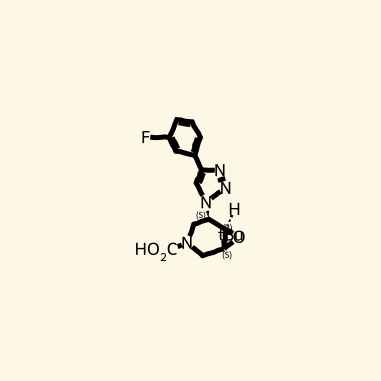 CC(C)(C)[C@]12CN(C(=O)O)C[C@H](n3cc(-c4cccc(F)c4)nn3)[C@H]1O2